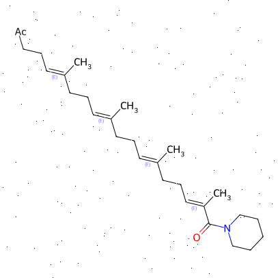 CC(=O)CC/C=C(\C)CC/C=C(\C)CC/C=C(\C)CC/C=C(\C)C(=O)N1CCCCC1